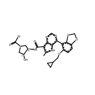 CCC(=O)N1C[C@H](O)[C@H](NC(=O)c2c(C)[nH]c3c(-c4c(OCC5CC5)ccc5c4OCO5)ncnc23)C1